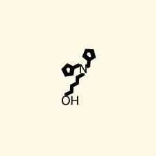 OCCCCCCN(CC1=CCC=C1)CC1=CC=CC1